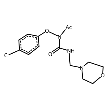 CC(=O)N(Oc1ccc(Cl)cc1)C(=O)NCN1CCOCC1